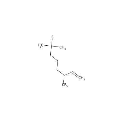 C=CC(CCCC(C)(F)C(F)(F)F)C(F)(F)F